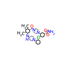 Cc1cc(C)c(C(=O)N2CCN(c3cccc(S(N)(=O)=O)c3)CC2)cc1NC1CCN(c2ccccc2Cl)CC1